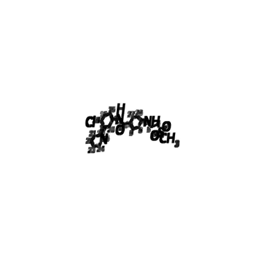 CS(=O)(=O)CCNc1ccc(C(=O)Nc2ccc(Cl)c(-c3ccccn3)c2)cc1